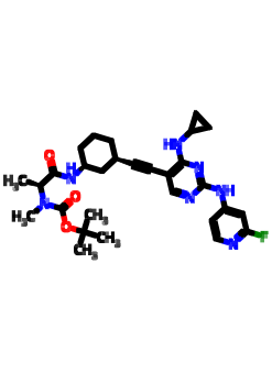 C[C@@H](C(=O)N[C@H]1CCC[C@@H](C#Cc2cnc(Nc3ccnc(F)c3)nc2NC2CC2)C1)N(C)C(=O)OC(C)(C)C